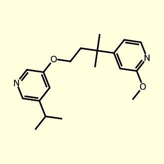 COc1cc(C(C)(C)CCOc2cncc(C(C)C)c2)ccn1